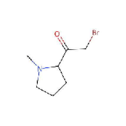 CN1CCCC1C(=O)CBr